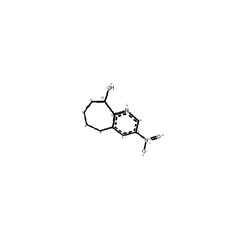 O=[N+]([O-])c1cnc2c(c1)CCCCC2O